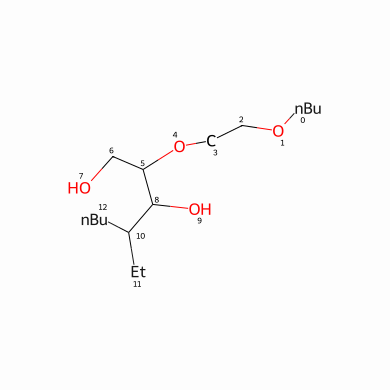 CCCCOCCOC(CO)C(O)C(CC)CCCC